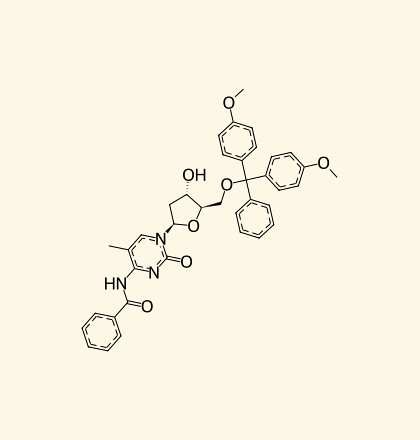 COc1ccc(C(OC[C@H]2O[C@@H](n3cc(C)c(NC(=O)c4ccccc4)nc3=O)C[C@@H]2O)(c2ccccc2)c2ccc(OC)cc2)cc1